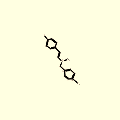 [O-][S+](/C=C/c1ccc(I)cc1)Cc1ccc(F)cc1